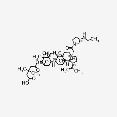 C=C(C)[C@@H]1CC[C@]2(CC(=O)N3CC[C@@H](NCC)C3)CC[C@]3(C)[C@H](CC[C@@H]4[C@@]5(C)CC[C@H](OC(=O)CC(C)(C)CC(=O)O)C(C)(C)[C@@H]5CC[C@]43C)[C@@H]12